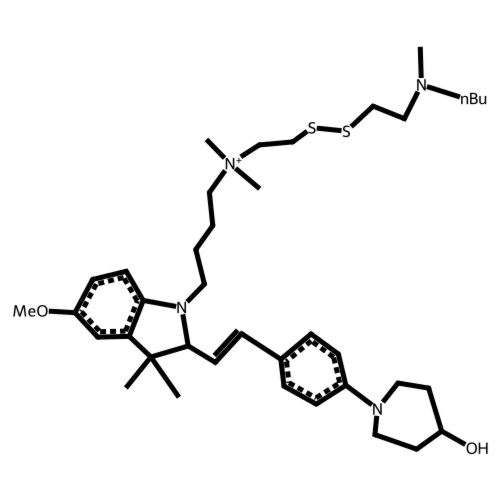 CCCCN(C)CCSSCC[N+](C)(C)CCCCN1c2ccc(OC)cc2C(C)(C)C1/C=C/c1ccc(N2CCC(O)CC2)cc1